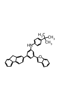 CC(C)(C)c1ccc(Nc2cc(-c3ccc4c(c3)Cc3ccccc3-4)cc(-c3cc4ccccc4o3)c2)cc1